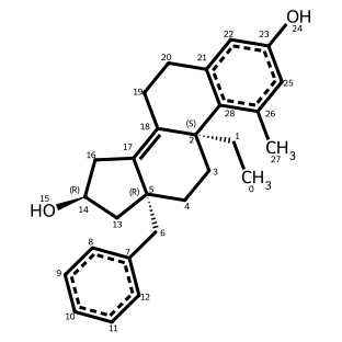 CC[C@]12CC[C@@]3(Cc4ccccc4)C[C@@H](O)CC3=C1CCc1cc(O)cc(C)c12